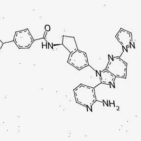 Nc1ncccc1-c1nc2ccc(-n3cccn3)nc2n1-c1ccc2c(c1)CC[C@@H]2NC(=O)c1ccc(C(F)F)cc1